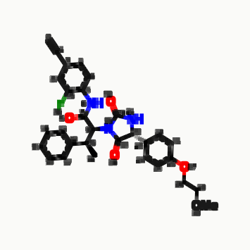 C#Cc1ccc(NC(=O)[C@H]([C@@H](C)c2ccccc2)N2C(=O)N[C@H](c3ccc(OCCOC)cc3)C2=O)c(F)c1